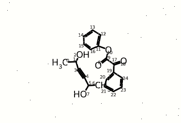 CC(O)C#CC(C)O.O=C(Oc1ccccc1)C(=O)c1ccccc1